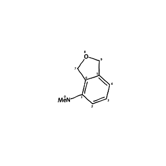 CNc1cccc2c1COC2